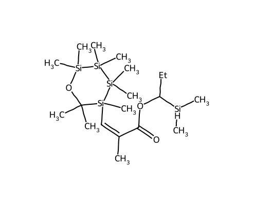 CCC(OC(=O)C(C)=C[Si]1(C)C(C)(C)O[Si](C)(C)[Si](C)(C)[Si]1(C)C)[SiH](C)C